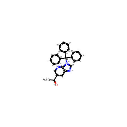 COC(=O)c1cnc2c(c1)ncn2C(c1ccccc1)(c1ccccc1)c1ccccc1